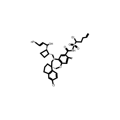 C=CCCC(CC)S(=O)(=O)NC(=O)c1cc2c(cc1F)OC[C@]1(CCCc3cc(Cl)ccc31)CN2C[C@@H]1CC[C@H]1C(O)/C=C/CCC